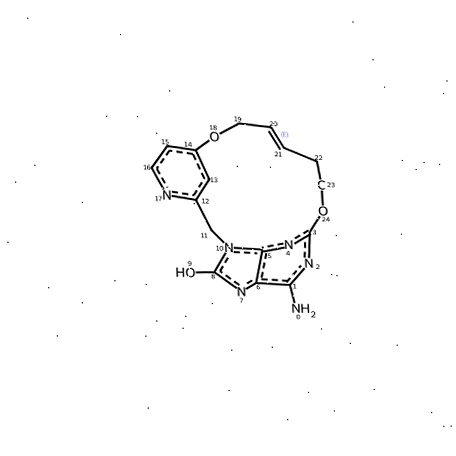 Nc1nc2nc3c1nc(O)n3Cc1cc(ccn1)OC/C=C/CCO2